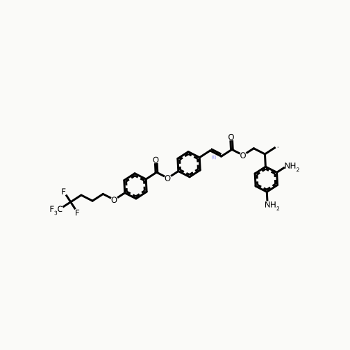 [CH2]C(COC(=O)/C=C/c1ccc(OC(=O)c2ccc(OCCCC(F)(F)C(F)(F)F)cc2)cc1)c1ccc(N)cc1N